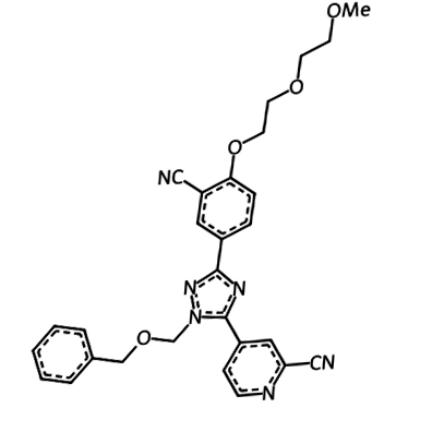 COCCOCCOc1ccc(-c2nc(-c3ccnc(C#N)c3)n(COCc3ccccc3)n2)cc1C#N